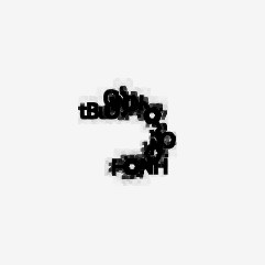 CC1CN(Cc2ccc(CCC(=O)N3CCC(Nc4ccc(F)cc4)CC3)cc2)CC(C)N1C(=O)OC(C)(C)C